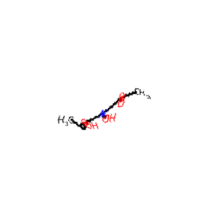 CCCCCCCCOC(=O)CCCCCCCN(CCO)CCCCCCCC(O)Oc1cccc(CCCCC)c1